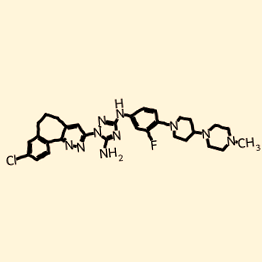 CN1CCN(C2CCN(c3ccc(Nc4nc(N)n(-c5cc6c(nn5)-c5ccc(Cl)cc5CCC6)n4)cc3F)CC2)CC1